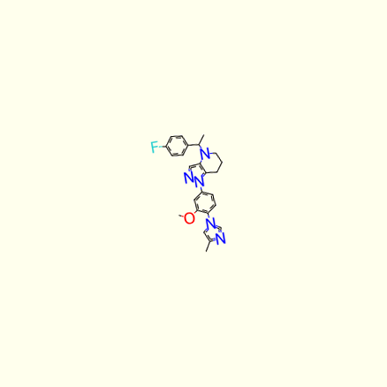 COc1cc(-n2ncc3c2CCCN3C(C)c2ccc(F)cc2)ccc1-n1cnc(C)c1